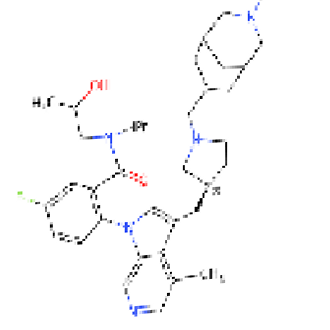 CC(=O)N1CC2CC(CN3CC[C@@H](Cc4cn(-c5ccc(F)cc5C(=O)N(CC(C)O)C(C)C)c5cncc(C)c45)C3)CC(C2)C1